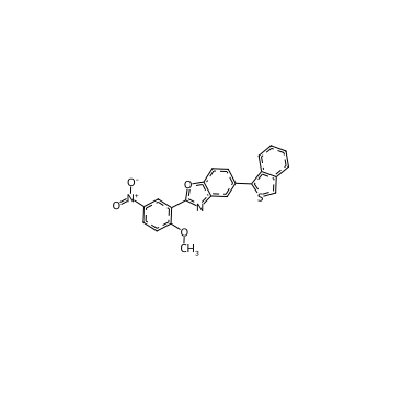 COc1ccc([N+](=O)[O-])cc1-c1nc2cc(-c3scc4ccccc34)ccc2o1